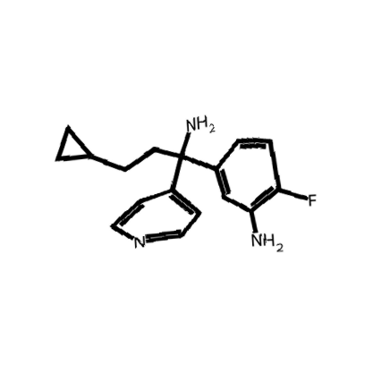 Nc1cc(C(N)(CCC2CC2)c2ccncc2)ccc1F